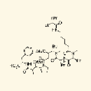 CCCC(CC)C(=O)NCCCCCC(=O)N(C)[C@H](C(=O)N[C@H](C(=O)N(C)[C@@H]([C@@H](C)CC)[C@@H](CC(=O)N1CCC[C@H]1[C@H](OC)[C@@H](C)C(=O)N[C@@H](Cc1ccccc1)C(=O)O)OC)C(C)C)C(C)C